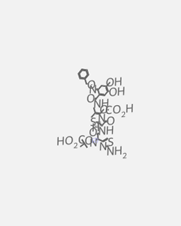 CC(C)(O/N=C(\C(=O)NC1C(=O)N2C(OC(=O)O)=C(CNC(=O)C3=CC(O)=C(O)CC3=NOCc3ccccc3)CS[C@@H]12)c1csc(N)n1)C(=O)O